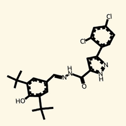 CC(C)(C)c1cc(/C=N/NC(=O)c2cc(-c3ccc(Cl)cc3Cl)n[nH]2)cc(C(C)(C)C)c1O